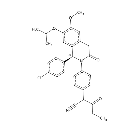 CCC(=O)C(C#N)c1ccc(N2C(=O)Cc3cc(OC)c(OC(C)C)cc3[C@@H]2c2ccc(Cl)cc2)cc1